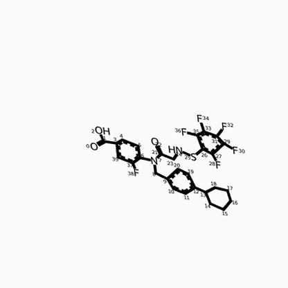 O=C(O)c1ccc(N(Cc2ccc(C3CCCCC3)cc2)C(=O)CNSc2c(F)c(F)c(F)c(F)c2F)c(F)c1